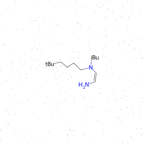 CCC(C)N(/C=C\N)CCCCC(C)(C)C